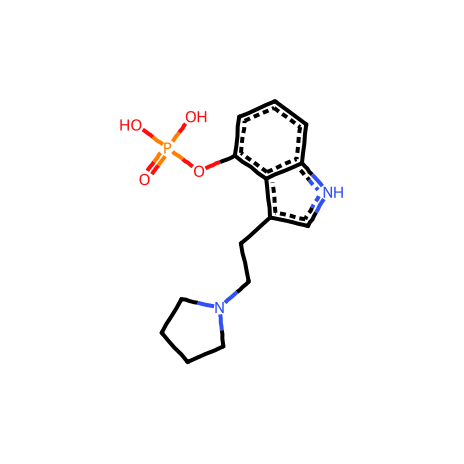 O=P(O)(O)Oc1cccc2[nH]cc(CCN3CCCC3)c12